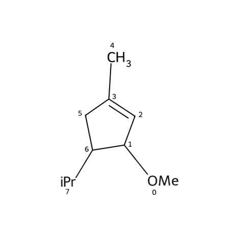 COC1C=C(C)CC1C(C)C